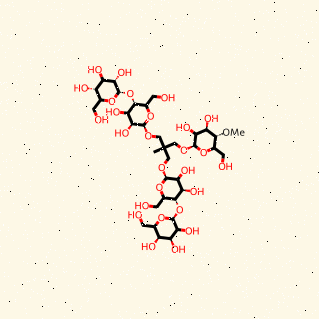 CO[C@@H]1C(CO)O[C@@H](OCC(C)(CO[C@@H]2OC(CO)[C@@H](O[C@@H]3OC(CO)[C@H](O)[C@H](O)C3O)[C@H](O)C2O)CO[C@@H]2OC(CO)[C@@H](O[C@@H]3OC(CO)[C@H](O)C(O)[C@@H]3O)C(O)[C@@H]2O)C(O)[C@H]1O